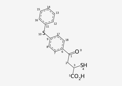 O=C(CC(S)C(=O)O)c1ccc(Sc2ccccc2)cc1